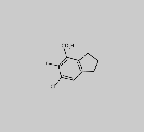 O=C(O)c1c(F)c(Cl)cc2c1CCC2